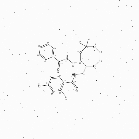 CC1(C)OCCO[C@H](CNC(=O)c2ccc(Cl)nc2Cl)[C@H](CNC(=O)c2ccccc2)O1